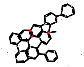 CC1(C)c2cc(-c3ccccc3)ccc2-c2ccc(N(c3ccccc3-c3ccccc3)c3cccc(-c4ccccc4)c3-c3ccccc3-c3ccccc3)cc21